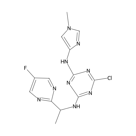 CC(Nc1nc(Cl)nc(Nc2cn(C)cn2)n1)c1ncc(F)cn1